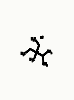 CC[N+](C)(CC)C(C)C.[Cl-]